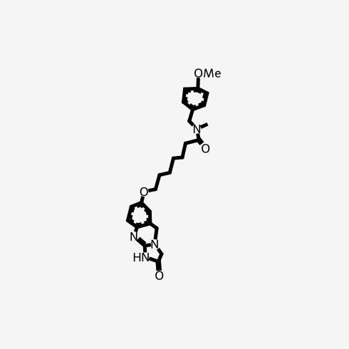 COc1ccc(CN(C)C(=O)CCCCCCOc2ccc3c(c2)CN2CC(=O)NC2=N3)cc1